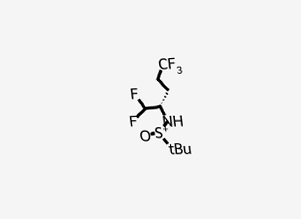 CC(C)(C)[S+]([O-])N[C@@H](CCC(F)(F)F)C(F)F